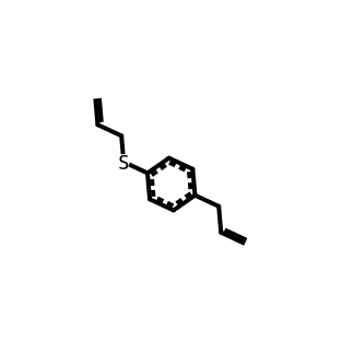 C=CCSc1ccc(CC=C)cc1